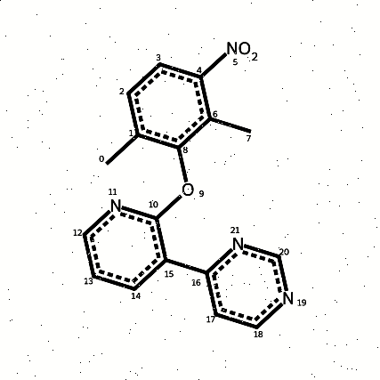 Cc1ccc([N+](=O)[O-])c(C)c1Oc1ncccc1-c1ccncn1